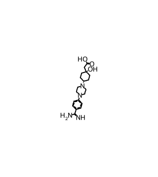 N=C(N)c1ccc(N2CCN([C@H]3CC[C@@](O)(CC(=O)O)CC3)CC2)cc1